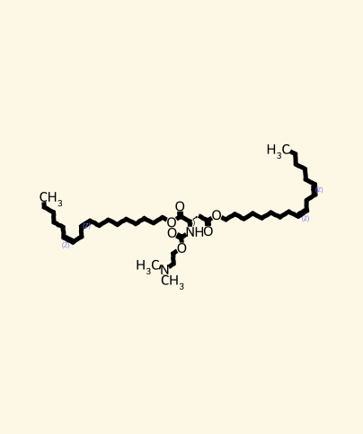 CCCCC/C=C\C/C=C\CCCCCCCCOC(=O)C[C@H](NC(=O)OCCN(C)C)C(=O)OCCCCCCCC/C=C\C/C=C\CCCCC